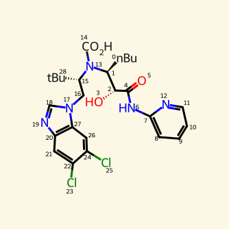 CCCC[C@@H]([C@@H](O)C(=O)Nc1ccccn1)N(C(=O)O)[C@H](Cn1cnc2cc(Cl)c(Cl)cc21)C(C)(C)C